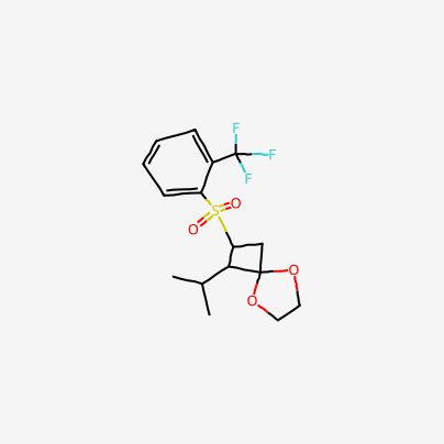 CC(C)C1C(S(=O)(=O)c2ccccc2C(F)(F)F)CC12OCCO2